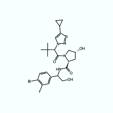 CC(C)(C)C(C(=O)N1C[C@H](O)C[C@H]1C(=O)NC(CO)c1ccc(Br)c(F)c1)n1cc(C2CC2)nn1